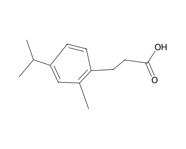 Cc1cc(C(C)C)ccc1CCC(=O)O